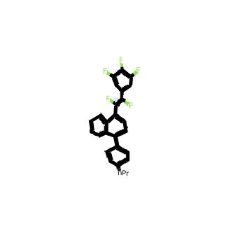 CCCc1ccc(-c2ccc(/C(F)=C(\F)c3cc(F)c(F)c(F)c3)c3ccccc23)cc1